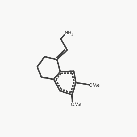 COc1cc2c(cc1OC)C(=CCN)CCC2